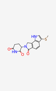 CSc1c[nH]c2c3c(ccc12)C(=O)N(C1CCC(=O)NC1=O)C3